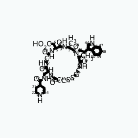 CC1NC(=O)C(CC(=O)O)NC(=O)CNC(=O)C(CNC(=O)C2CCNCC2)NC(=O)CCSSCCNC(=O)C(C)N(CCc2c[nH]c3ccccc23)C1=O